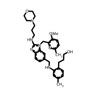 COc1ccc(C)nc1Cn1c(NCCCN2CCOCC2)nc2ccc(CNc3cc(C)ccc3CCCO)cc21